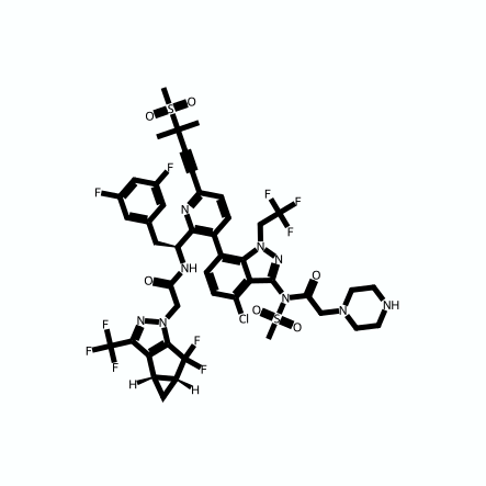 CC(C)(C#Cc1ccc(-c2ccc(Cl)c3c(N(C(=O)CN4CCNCC4)S(C)(=O)=O)nn(CC(F)(F)F)c23)c([C@H](Cc2cc(F)cc(F)c2)NC(=O)Cn2nc(C(F)(F)F)c3c2C(F)(F)[C@@H]2C[C@H]32)n1)S(C)(=O)=O